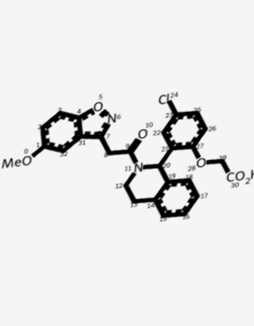 COc1ccc2onc(CC(=O)N3CCc4ccccc4C3c3cc(Cl)ccc3OCC(=O)O)c2c1